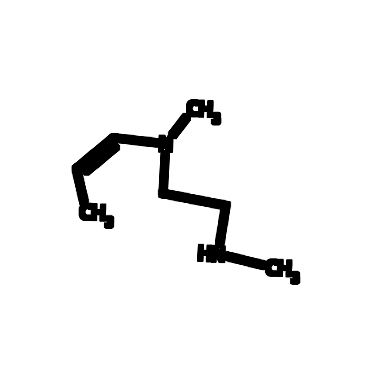 C/C=C\N(C)CCNC